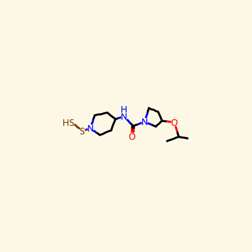 CC(C)OC1CCN(C(=O)NC2CCN(SS)CC2)C1